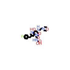 O=C[N+]1(CCNC(=O)O)C(=O)C(NCCN2CCOCC2)=C(O)c2ncc(Cc3ccc(F)cc3)cc21